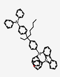 CCCCCC(CC)(c1ccc(N(c2ccccc2)c2ccccc2)cc1)c1ccc(N(c2ccccc2)c2cccc3c4ccccc4n(-c4ccccc4)c23)cc1